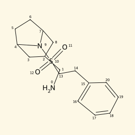 NCC1CC2CCC(C1)N2S(=O)(=O)CCc1ccccc1